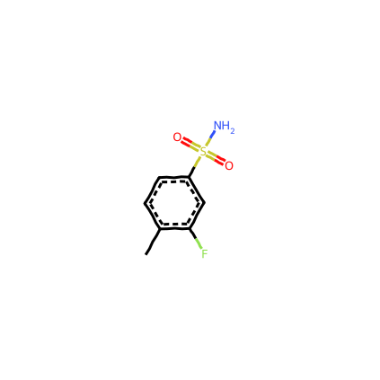 Cc1ccc(S(N)(=O)=O)cc1F